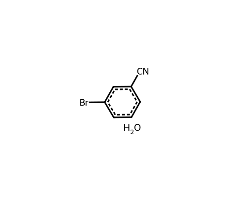 N#Cc1cccc(Br)c1.O